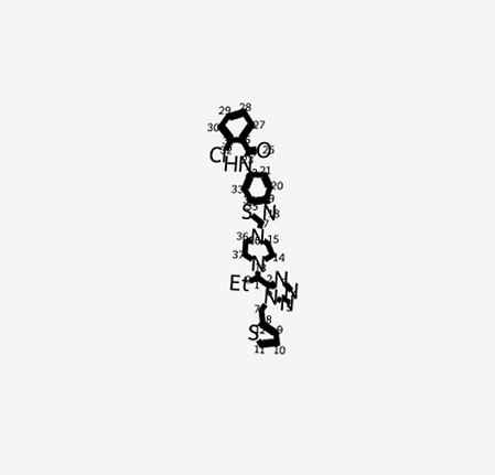 CCC(c1nnnn1Cc1cccs1)N1CCN(c2nc3ccc(NC(=O)c4ccccc4Cl)cc3s2)CC1